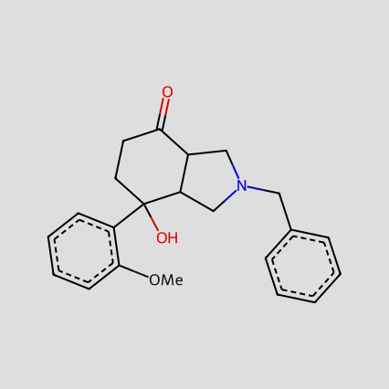 COc1ccccc1C1(O)CCC(=O)C2CN(Cc3ccccc3)CC21